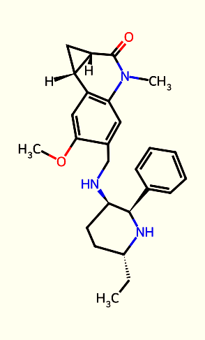 CC[C@@H]1CC[C@@H](NCc2cc3c(cc2OC)[C@@H]2C[C@@H]2C(=O)N3C)[C@@H](c2ccccc2)N1